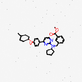 COC(=O)c1cccc(CN(c2nccc(-c3ccc(OC4CCC(C)CC4)cc3)n2)C2CCCC2)c1